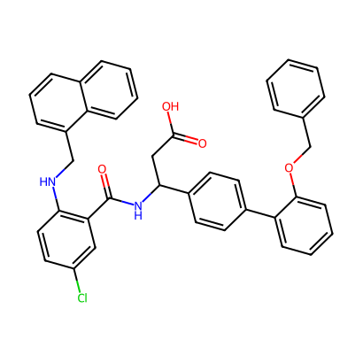 O=C(O)CC(NC(=O)c1cc(Cl)ccc1NCc1cccc2ccccc12)c1ccc(-c2ccccc2OCc2ccccc2)cc1